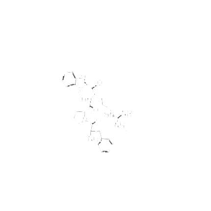 C[C@@](N)(Cc1ccccc1)C(=O)N1CCC[C@H]1C(=O)N[C@@H](CCCNC(=N)N)C(=O)c1nc2ccccc2s1